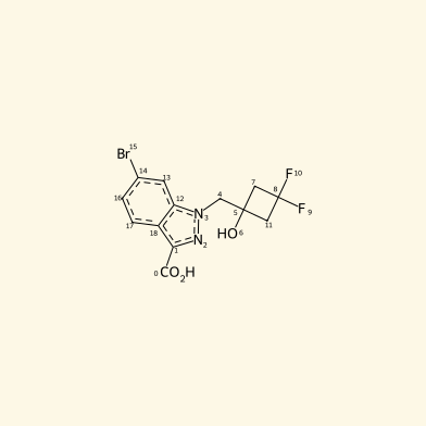 O=C(O)c1nn(CC2(O)CC(F)(F)C2)c2cc(Br)ccc12